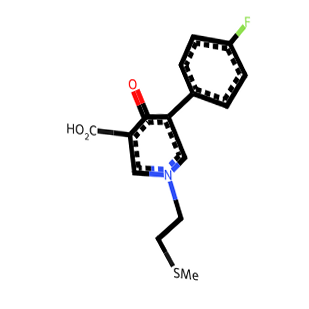 CSCCn1cc(C(=O)O)c(=O)c(-c2ccc(F)cc2)c1